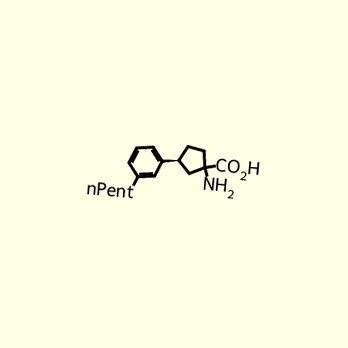 CCCCCc1cccc([C@H]2CCC(N)(C(=O)O)C2)c1